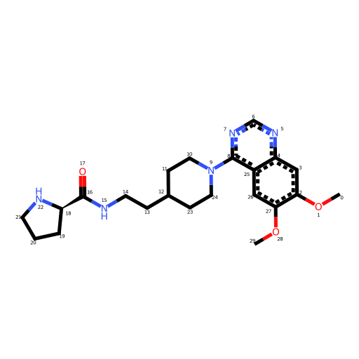 COc1cc2ncnc(N3CCC(CCNC(=O)[C@H]4CCCN4)CC3)c2cc1OC